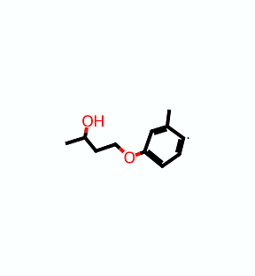 Cc1[c]ccc(OCCC(C)O)c1